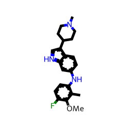 COc1c(F)ccc(Nc2ccc3c(C4CCN(C)CC4)c[nH]c3c2)c1C